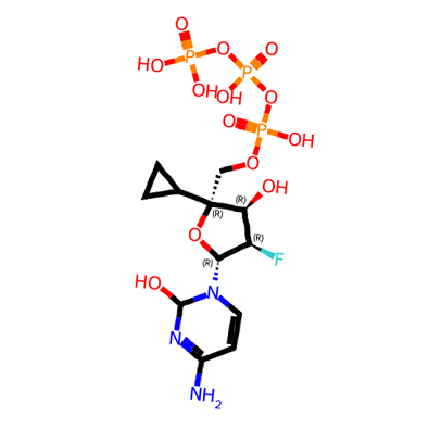 NC1=NC(O)N([C@@H]2O[C@@](COP(=O)(O)OP(=O)(O)OP(=O)(O)O)(C3CC3)[C@@H](O)[C@H]2F)C=C1